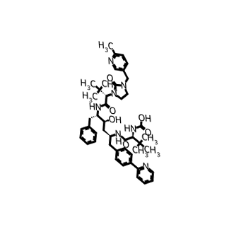 Cc1ccc(CN2CCN([C@H](C(=O)N[C@@H](Cc3ccccc3)[C@@H](O)C[C@H](Cc3ccc(-c4ccccn4)cc3)NC(=O)[C@@H](NC(=O)O)C(C)(C)C)C(C)(C)C)C2=O)cn1